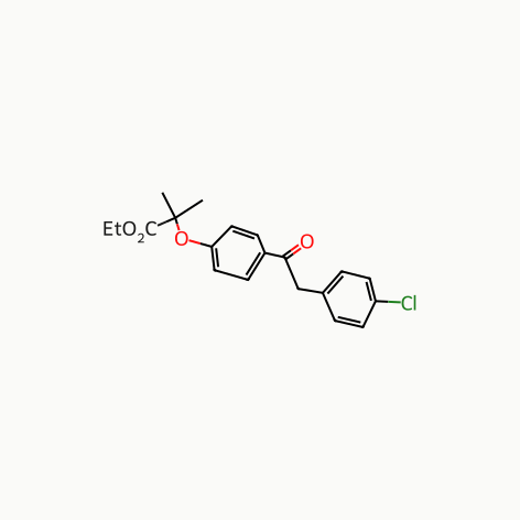 CCOC(=O)C(C)(C)Oc1ccc(C(=O)Cc2ccc(Cl)cc2)cc1